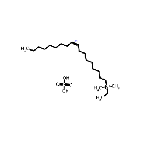 CCCCCCCC/C=C\CCCCCCCC[N+](C)(C)CC.O=S(=O)(O)O